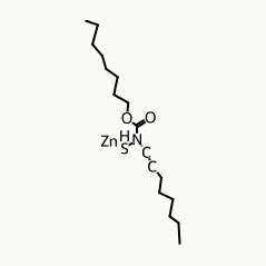 CCCCCCCCOC(=O)N(S)CCCCCCCC.[Zn]